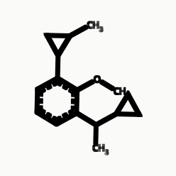 COc1c(C(C)C2CC2)cccc1C1CC1C